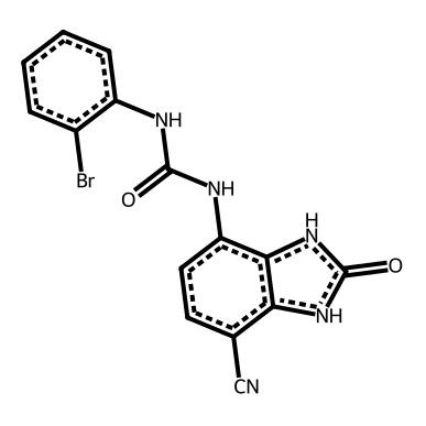 N#Cc1ccc(NC(=O)Nc2ccccc2Br)c2[nH]c(=O)[nH]c12